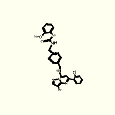 COc1ccccc1NC(=O)NCc1ccc(CNc2cc(-c3ccccc3Cl)nc3c(Br)cnn23)cc1